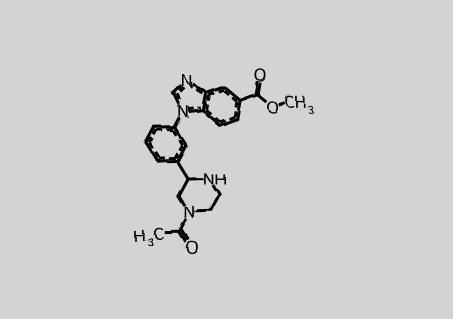 COC(=O)c1ccc2c(c1)ncn2-c1cccc(C2CN(C(C)=O)CCN2)c1